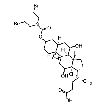 C[C@H](CCC(=O)O)[C@H]1CC[C@H]2[C@@H]3[C@H](O)C[C@@H]4C[C@H](OC(=O)N(CCBr)CCBr)CC[C@]4(C)[C@H]3C[C@H](O)[C@]12C